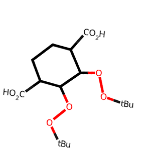 CC(C)(C)OOC1C(C(=O)O)CCC(C(=O)O)C1OOC(C)(C)C